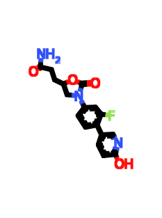 NC(=O)CCC1CN(c2ccc(-c3ccc(O)nc3)c(F)c2)C(=O)O1